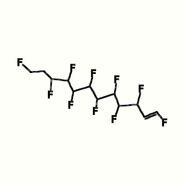 FC=CC(F)C(F)C(F)C(F)C(F)C(F)C(F)C(F)CCF